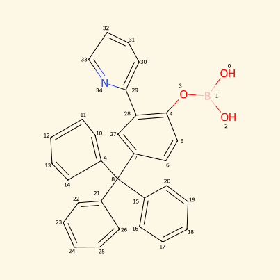 OB(O)Oc1ccc(C(c2ccccc2)(c2ccccc2)c2ccccc2)cc1-c1ccccn1